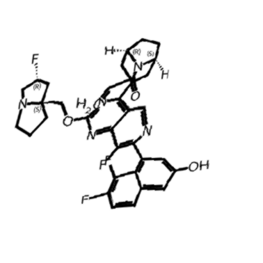 C=CC(=O)N1[C@@H]2CC[C@H]1CC(c1nc(OC[C@@]34CCCN3C[C@H](F)C4)nc3c(F)c(-c4cc(O)cc5ccc(F)c(F)c45)ncc13)C2